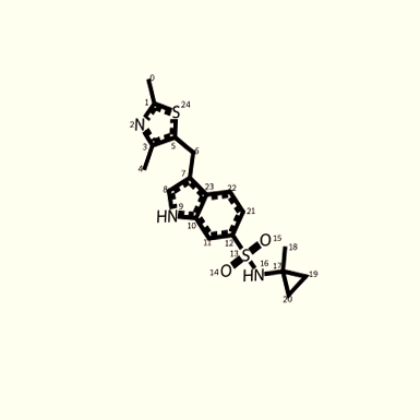 Cc1nc(C)c(Cc2c[nH]c3cc(S(=O)(=O)NC4(C)CC4)ccc23)s1